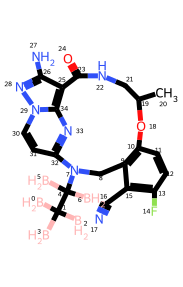 BC(B)(B)C(B)(B)N1Cc2c(ccc(F)c2C#N)OC(C)CNC(=O)c2c(N)nn3ccc1nc23